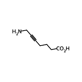 NCC#CCCCC(=O)O